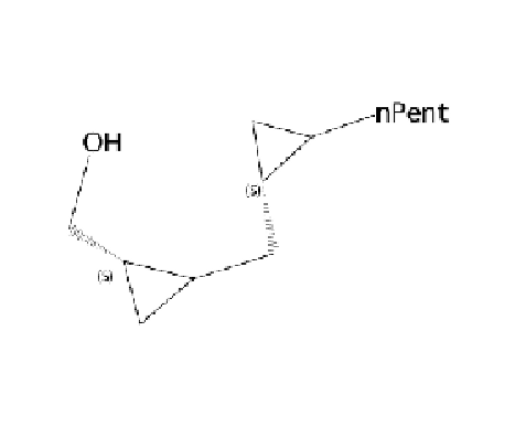 CCCCCC1C[C@H]1CC1C[C@@H]1CO